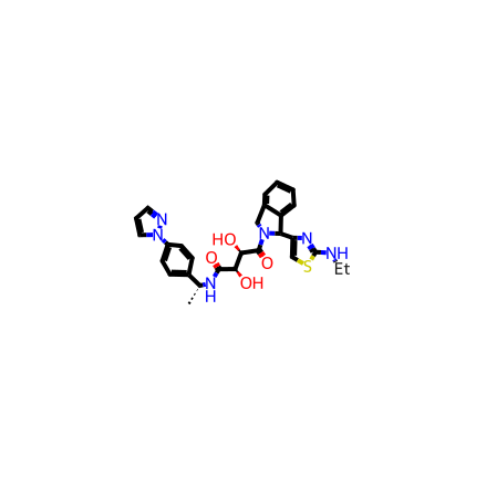 CCNc1nc(C2c3ccccc3CN2C(=O)[C@H](O)[C@@H](O)C(=O)N[C@H](C)c2ccc(-n3cccn3)cc2)cs1